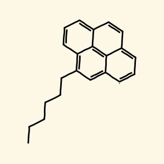 CCCCCCc1cc2[c]ccc3ccc4cccc1c4c23